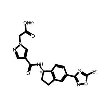 CCc1nc(-c2ccc3c(c2)CC[C@H]3NC(=O)c2cnn(CC(=O)OC)c2)no1